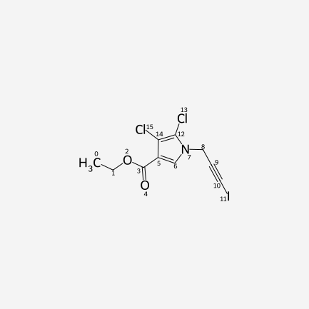 CCOC(=O)c1cn(CC#CI)c(Cl)c1Cl